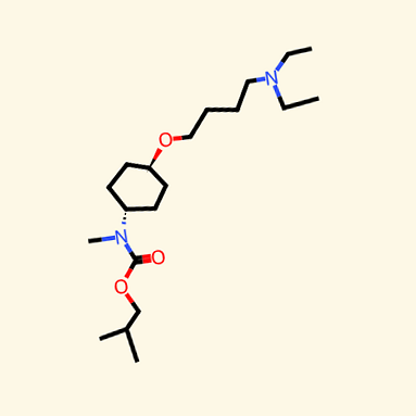 CCN(CC)CCCCO[C@H]1CC[C@H](N(C)C(=O)OCC(C)C)CC1